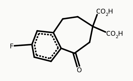 O=C1CC(C(=O)O)(C(=O)O)CCc2cc(F)ccc21